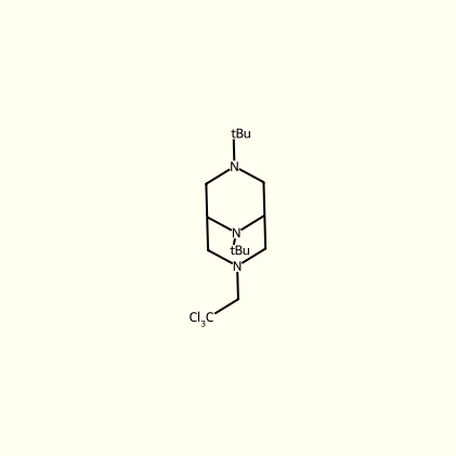 CC(C)(C)N1CC2CN(CC(Cl)(Cl)Cl)CC(C1)N2C(C)(C)C